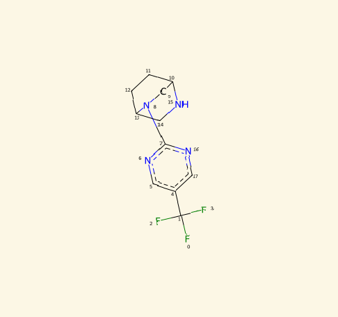 FC(F)(F)c1cnc(N2CC3CCC2CN3)nc1